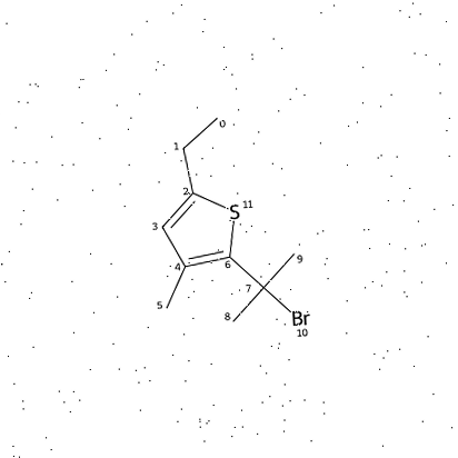 CCc1cc(C)c(C(C)(C)Br)s1